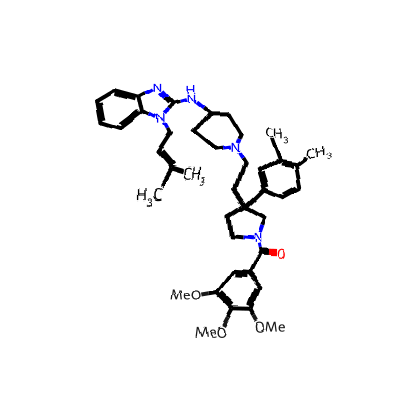 COc1cc(C(=O)N2CCC(CCN3CCC(Nc4nc5ccccc5n4CC=C(C)C)CC3)(c3ccc(C)c(C)c3)C2)cc(OC)c1OC